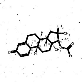 CCC(=O)O[C@]1(C(C)=O)C(C)(C)C[C@H]2[C@@H]3CCC4=CC(=O)C=C[C@]4(C)[C@H]3CC[C@@]21C